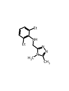 CCc1cccc(CC)c1NCc1nnc(C)n1C